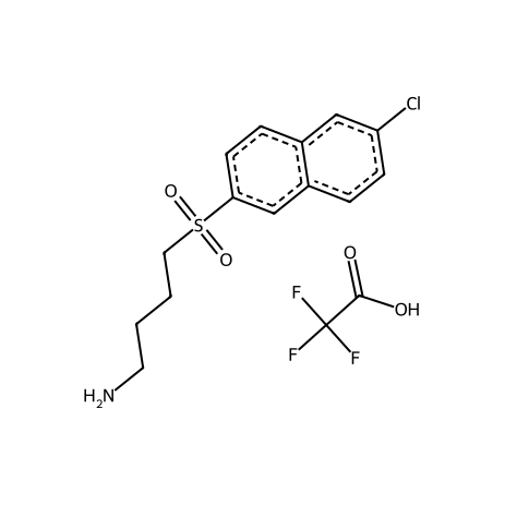 NCCCCS(=O)(=O)c1ccc2cc(Cl)ccc2c1.O=C(O)C(F)(F)F